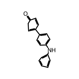 O=C1C=CC(c2ccc(Nc3ccccc3)cc2)=CC1